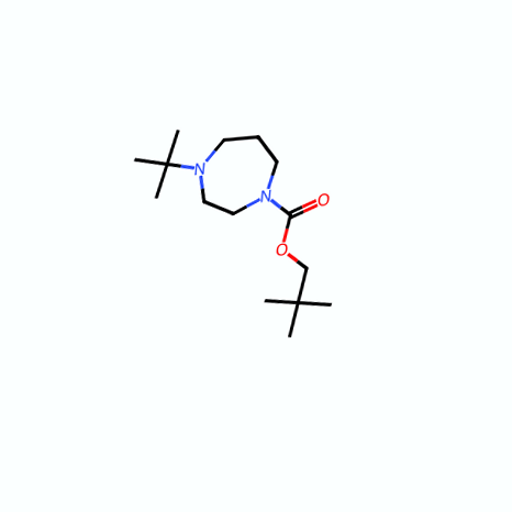 CC(C)(C)COC(=O)N1CCCN(C(C)(C)C)CC1